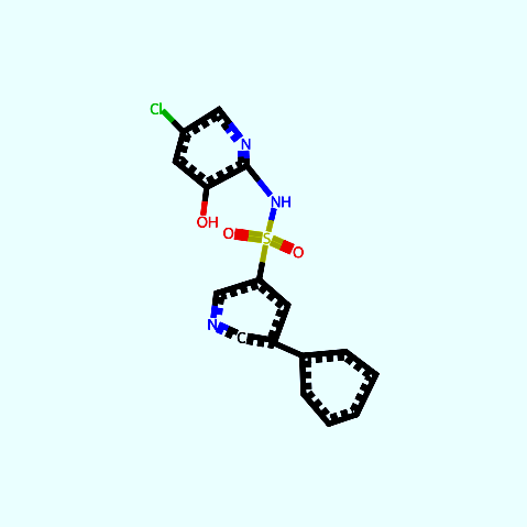 O=S(=O)(Nc1ncc(Cl)cc1O)c1cncc(-c2ccccc2)c1